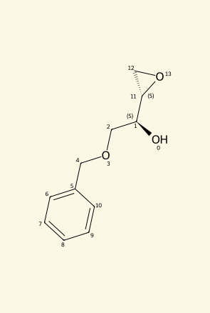 O[C@@H](COCc1ccccc1)[C@@H]1CO1